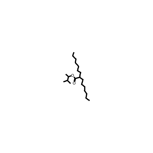 CCCCCCCC(CCCCCCC)C(=O)OC(C)C(C)C